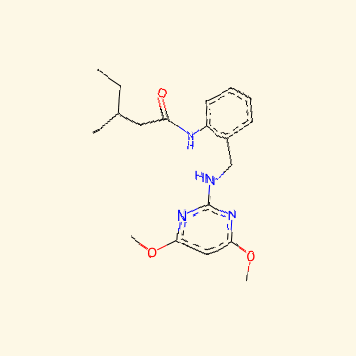 CCC(C)CC(=O)Nc1ccccc1CNc1nc(OC)cc(OC)n1